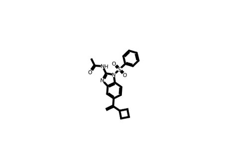 C=C(c1ccc2c(c1)nc(NC(C)=O)n2S(=O)(=O)c1ccccc1)C1CCC1